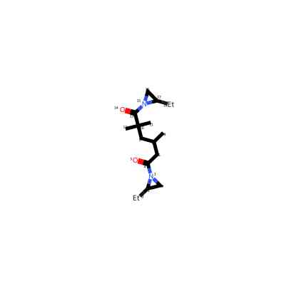 CCC1CN1C(=O)CC(C)CC(C)(C)C(=O)N1CC1CC